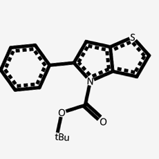 CC(C)(C)OC(=O)n1c(-c2ccccc2)cc2sccc21